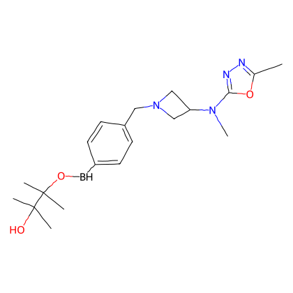 Cc1nnc(N(C)C2CN(Cc3ccc(BOC(C)(C)C(C)(C)O)cc3)C2)o1